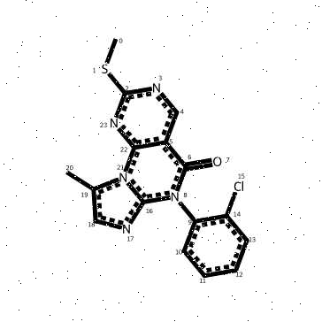 CSc1ncc2c(=O)n(-c3ccccc3Cl)c3ncc(C)n3c2n1